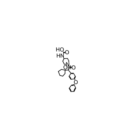 O=C(O)NC1CCN(C(=O)C(c2ccc(Oc3ccccc3)cc2)C2(O)CCCCC2)CC1